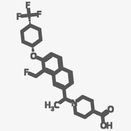 CC(c1ccc2ccc(O[C@H]3CC[C@@H](C(F)(F)F)CC3)c(CF)c2c1)N1CCC(C(=O)O)CC1